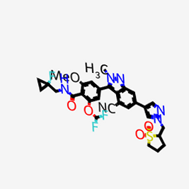 COc1cc(-c2c3c(C#N)cc(-c4cnn(CC5CCCS5(=O)=O)c4)cc3nn2C)cc(OC(F)F)c1C(=O)NCC1(F)CC1